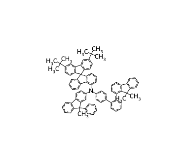 CC(C)(C)c1ccc2c(c1)-c1cc(C(C)(C)C)ccc1C21c2ccccc2-c2c(N(c3ccc(-c4ccccc4-c4cccc5c4C(C)(C)c4ccccc4-5)cc3)c3ccc4c(c3)C(C)(c3ccccc3)c3ccccc3-4)cccc21